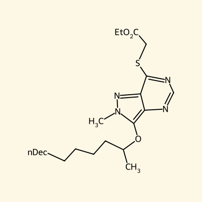 CCCCCCCCCCCCCCC(C)Oc1c2ncnc(SCC(=O)OCC)c2nn1C